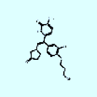 Cc1ccc(/C(=C/C2CCC(=O)C2)c2ccc(SCCCO)c(Cl)c2)[nH]c1=O